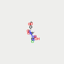 Cc1cc([C@@H](C)Nc2ccc(Cl)nc2C(=O)O)nc(N2C(=O)OC[C@@H]2Cc2ccc(C(=O)OC(C)(C)C)cc2)c1